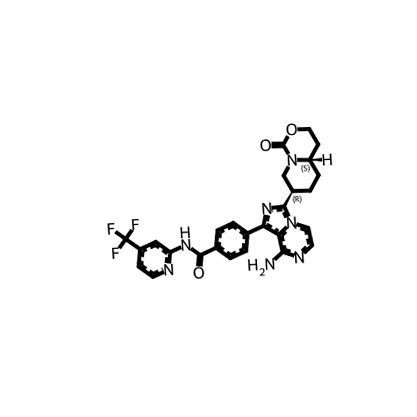 Nc1nccn2c([C@@H]3CC[C@H]4CCOC(=O)N4C3)nc(-c3ccc(C(=O)Nc4cc(C(F)(F)F)ccn4)cc3)c12